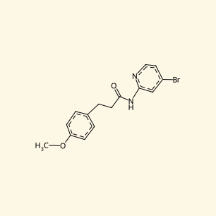 COc1ccc(CCC(=O)Nc2cc(Br)ccn2)cc1